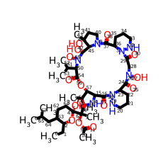 CCC1OC(O)(C(C)(OC(C)=O)C(=O)NC2C(=O)N3NCCCC3C(=O)N(O)CC(=O)N3NCCCC3C(=O)N3CCC(C)(O)C3C(=O)N(O)C(C(C)C)C(=O)OC2C(C)C)CCC1CC(C)C